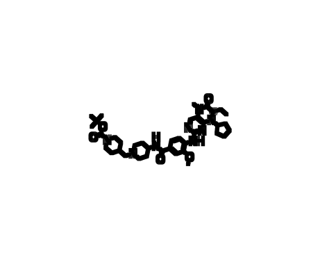 CC[C@@H]1C(=O)N(C)c2cnc(Nc3ccc(C(=O)NC4CCN(CC5CCN(C(=O)OC(C)(C)C)CC5)CC4)cc3OC)nc2N1C1CCCC1